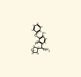 NC(c1ccc(F)c(Oc2ccccc2)c1F)C1CCOC1